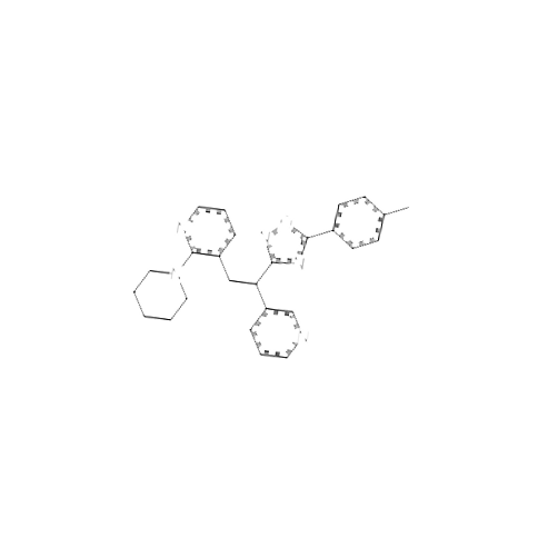 Cc1ccc(-c2nc(C(Cc3cccnc3N3CCCCC3)c3cccnc3)no2)cc1